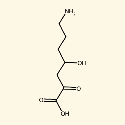 NCCCC(O)CC(=O)C(=O)O